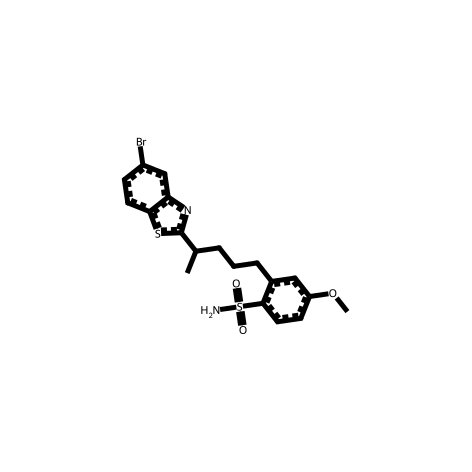 COc1ccc(S(N)(=O)=O)c(CCCC(C)c2nc3cc(Br)ccc3s2)c1